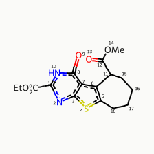 CCOC(=O)c1nc2sc3c(c2c(=O)[nH]1)C(C(=O)OC)CCCC3